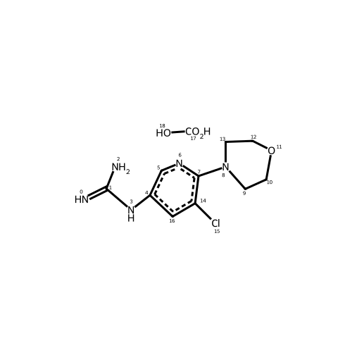 N=C(N)Nc1cnc(N2CCOCC2)c(Cl)c1.O=C(O)O